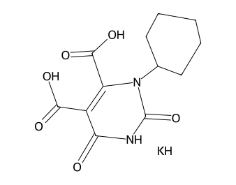 O=C(O)c1c(C(=O)O)n(C2CCCCC2)c(=O)[nH]c1=O.[KH]